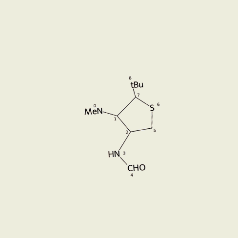 CNC1C(NC=O)CSC1C(C)(C)C